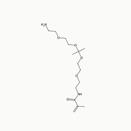 C=C(C)C(=O)NCCOCCOC(C)(C)OCCOCCN